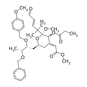 CCC(=O)O[C@H]1/C(=C/C(=O)OC)C[C@@H](C[C@@H](OCc2ccc(OC)cc2)[C@@H](C)OCc2ccccc2)O[C@@]1(OC)C(C)(C)/C=C/C=O